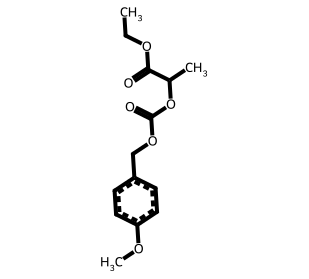 CCOC(=O)C(C)OC(=O)OCc1ccc(OC)cc1